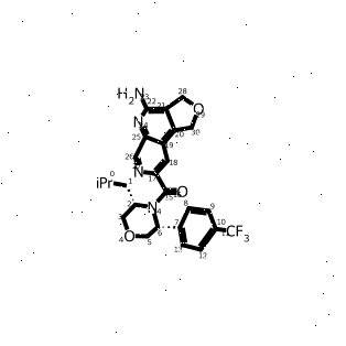 CC(C)C[C@H]1COC[C@@H](c2ccc(C(F)(F)F)cc2)N1C(=O)c1cc2c3c(c(N)nc2cn1)COC3